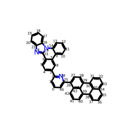 c1cc(-c2ccc3c(c2)c2ccccc2n2c4ccccc4nc32)nc(-c2ccc3c4cccc5cccc(c6cccc2c63)c54)c1